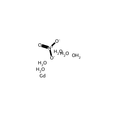 O.O.O.O.O.O=[N+]([O-])[O-].[Gd]